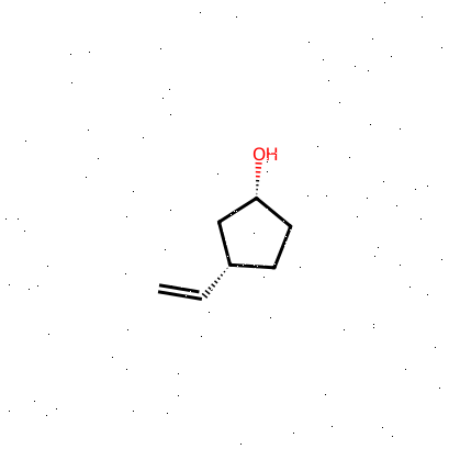 C=C[C@H]1CC[C@@H](O)C1